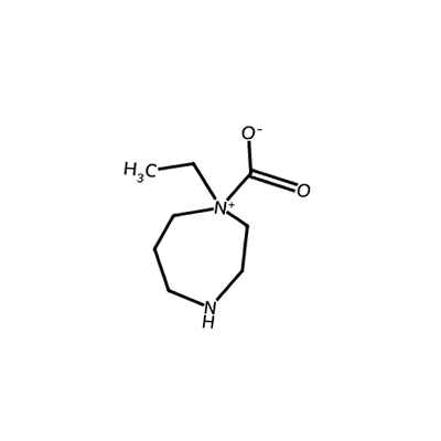 CC[N+]1(C(=O)[O-])CCCNCC1